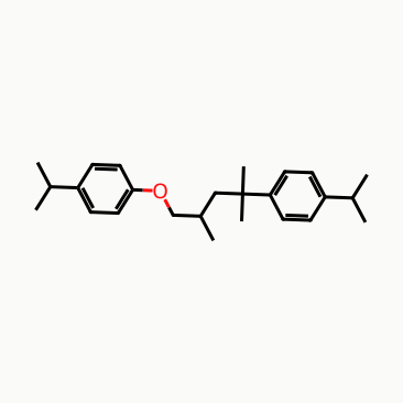 CC(COc1ccc(C(C)C)cc1)CC(C)(C)c1ccc(C(C)C)cc1